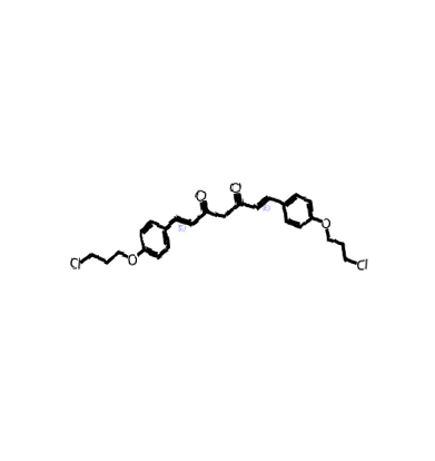 O=C(/C=C/c1ccc(OCCCCl)cc1)CC(=O)/C=C/c1ccc(OCCCCl)cc1